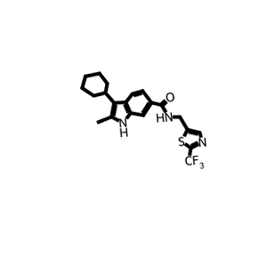 Cc1[nH]c2cc(C(=O)NCc3cnc(C(F)(F)F)s3)ccc2c1C1CCCCC1